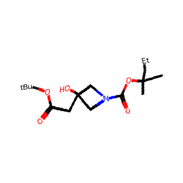 CCC(C)(C)OC(=O)N1CC(O)(CC(=O)OC(C)(C)C)C1